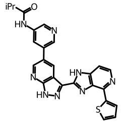 CC(C)C(=O)Nc1cncc(-c2cnc3[nH]nc(-c4nc5c(-c6cccs6)nccc5[nH]4)c3c2)c1